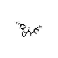 CC(C)(C)c1cc(NC(=O)N2CCCN2c2nc(C(F)(F)F)cs2)on1